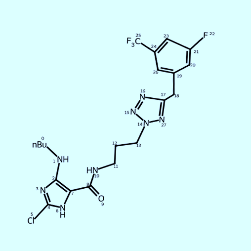 CCCCNc1nc(Cl)[nH]c1C(=O)NCCCn1nnc(Cc2cc(F)cc(C(F)(F)F)c2)n1